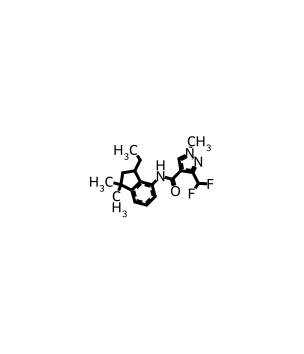 CCC1CC(C)(C)c2cccc(NC(=O)c3cn(C)nc3C(F)F)c21